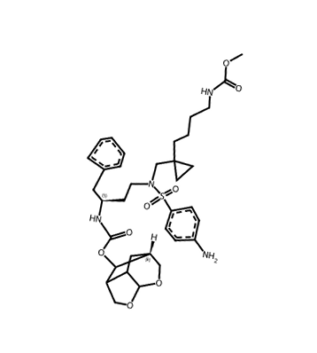 COC(=O)NCCCCC1(CN(CC[C@H](Cc2ccccc2)NC(=O)OC2C3COC4OC[C@H]2CC43)S(=O)(=O)c2ccc(N)cc2)CC1